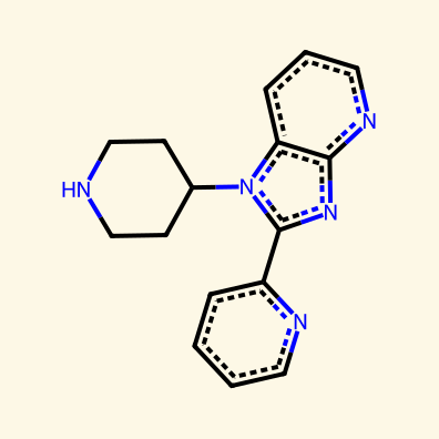 c1ccc(-c2nc3ncccc3n2C2CCNCC2)nc1